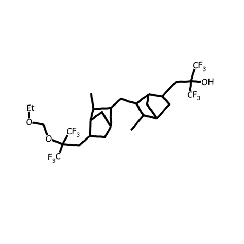 CCOCOC(CC1CC2CC1C(C)C2CC1C(C)C2CC(CC(O)(C(F)(F)F)C(F)(F)F)C1C2)(C(F)(F)F)C(F)(F)F